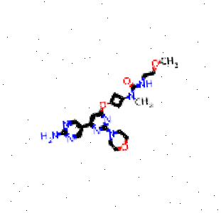 COCCNC(=O)N(C)[C@H]1C[C@H](Oc2cc(-c3cnc(N)nc3)nc(N3CCOCC3)n2)C1